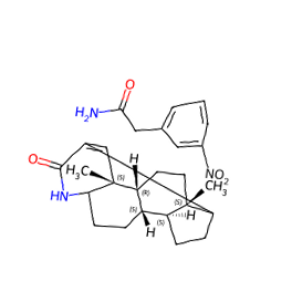 C[C@]12C=C3C(=O)NC1CC[C@@H]1[C@H]2CC[C@]2(C)C3CC[C@@H]12.NC(=O)Cc1cccc([N+](=O)[O-])c1